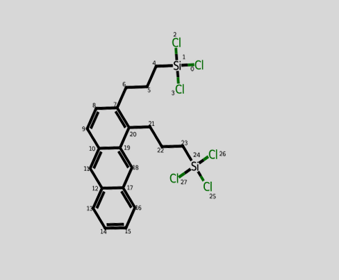 Cl[Si](Cl)(Cl)CCCc1ccc2cc3ccccc3cc2c1CCC[Si](Cl)(Cl)Cl